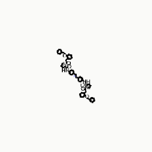 O=C(Nc1ccc(/C=C/c2ccc(NC(=O)[C@@H]3CCCN3C(=O)Cc3ccccc3OCc3ccccc3)cc2)cc1)[C@@H]1CCCN1C(=O)Cc1ccccc1OCc1ccccc1